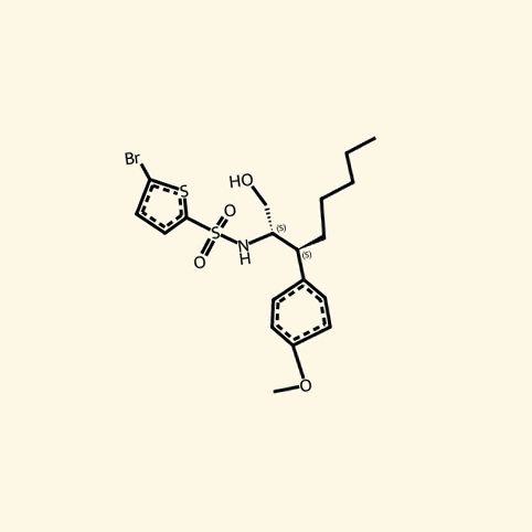 CCCCC[C@@H](c1ccc(OC)cc1)[C@@H](CO)NS(=O)(=O)c1ccc(Br)s1